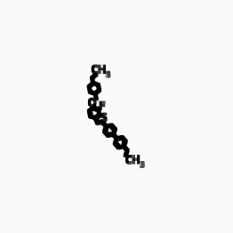 CCCc1ccc(-c2ccc(-c3cc4ccc(OCC5CCC(CCC)CC5)c(F)c4s3)cc2)cc1